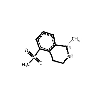 C[C@@H]1NCCc2c1cccc2S(C)(=O)=O